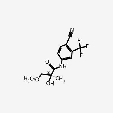 COC[C@](C)(O)C(=O)Nc1ccc(C#N)c(C(F)(F)F)c1